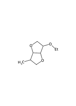 CCOC1COC2C(C)COC12